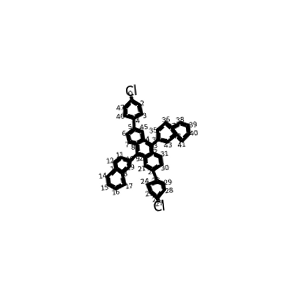 Clc1ccc(-c2ccc3c(-c4ccc5ccccc5c4)c4cc(-c5ccc(Cl)cc5)ccc4c(-c4ccc5ccccc5c4)c3c2)cc1